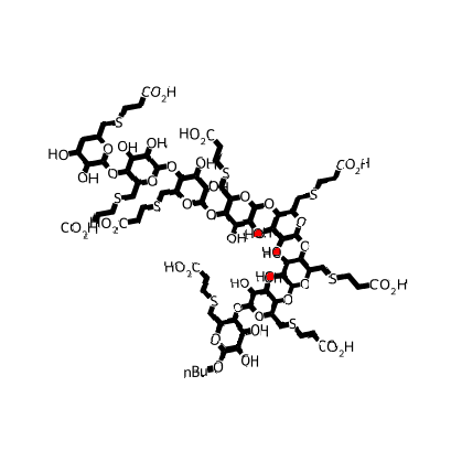 CCCCOC1OC(CSCCC(=O)O)C(OC2OC(CSCCC(=O)O)C(OC3OC(CSCCC(=O)O)C(OC4OC(CSCCC(=O)O)C(OC5OC(CSCCC(=O)O)C(OC6OC(CSCCC(=O)O)C(OC7OC(CSCCC(=O)O)C(OC8OC(CSCCC(=O)O)CC(O)C8O)C(O)C7O)C(O)C6O)C(O)C5O)C(O)C4O)C(O)C3O)C(O)C2O)C(O)C1O